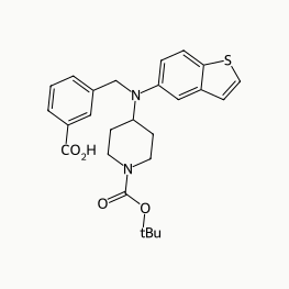 CC(C)(C)OC(=O)N1CCC(N(Cc2cccc(C(=O)O)c2)c2ccc3sccc3c2)CC1